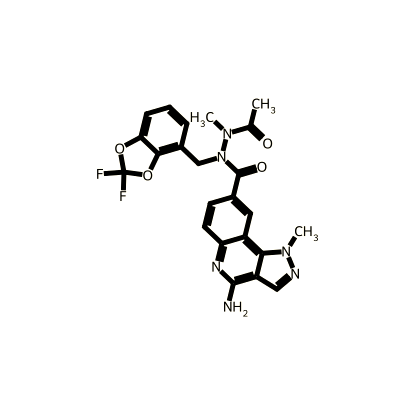 CC(=O)N(C)N(Cc1cccc2c1OC(F)(F)O2)C(=O)c1ccc2nc(N)c3cnn(C)c3c2c1